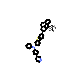 CC1(C)c2cccc3ccc4cc(-c5ccc6c(c5)sc5cc(N(c7ccccc7)c7ccc(-c8cccnc8)cc7)ccc56)cc1c4c23